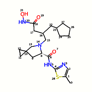 Cc1cnc(NC(=O)[C@@H]2CC3(CC3)CN2CC(CC(=O)NO)CC2CCCC2)s1